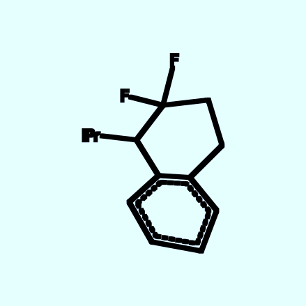 CC(C)C1c2ccccc2CCC1(F)F